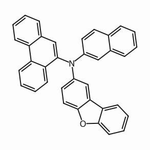 c1ccc2cc(N(c3ccc4oc5ccccc5c4c3)c3cc4ccccc4c4ccccc34)ccc2c1